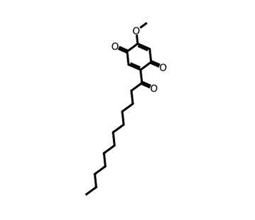 CCCCCCCCCCCC(=O)C1=CC(=O)C(OC)=CC1=O